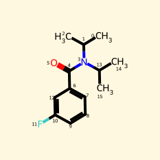 CC(C)N(C(=O)c1cccc(F)c1)C(C)C